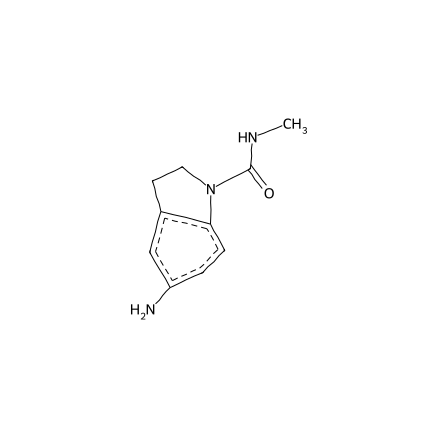 CNC(=O)N1CCc2cc(N)ccc21